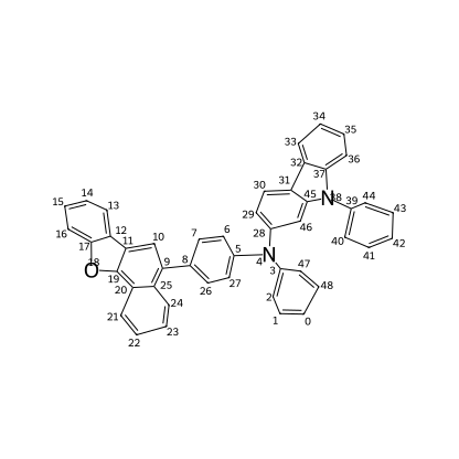 c1ccc(N(c2ccc(-c3cc4c5ccccc5oc4c4ccccc34)cc2)c2ccc3c4ccccc4n(-c4ccccc4)c3c2)cc1